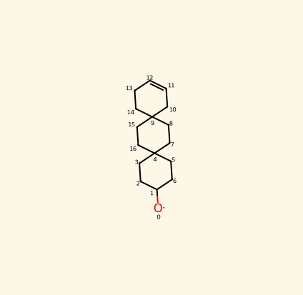 [O]C1CCC2(CC1)CCC1(CC=CCC1)CC2